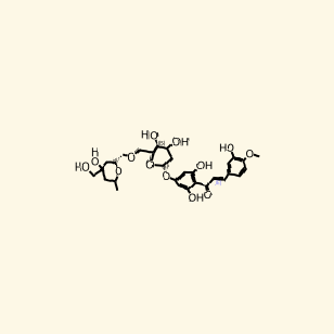 COc1ccc(/C=C/C(=O)c2c(O)cc(O[C@H]3CC(O)[C@H](O)C(COC[C@H]4CC(O)(CO)CC(C)O4)O3)cc2O)cc1O